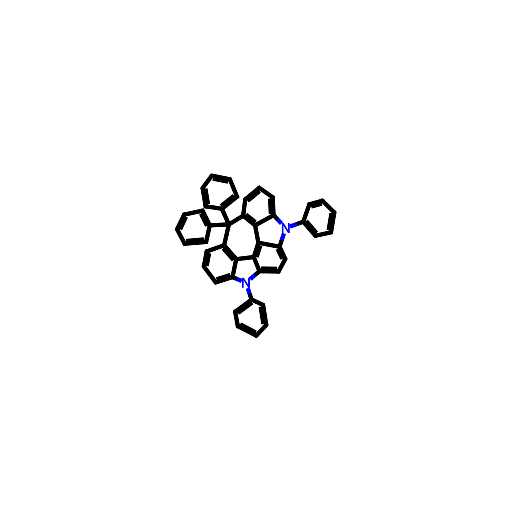 c1ccc(-n2c3cccc4c3c3c5c6c(cccc6n(-c6ccccc6)c5ccc32)C4(c2ccccc2)c2ccccc2)cc1